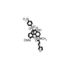 COc1ccc2c3c1O[C@H]1[C@H](N(C)C(=O)/C=C/c4ccoc4)CC[C@@]4(O)[C@@H](C2)N(S(=O)(=O)c2ccc([N+](=O)[O-])cc2)CC[C@]314